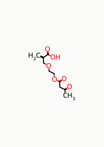 C=C(COCCOC(=O)CC(C)=O)C(=O)O